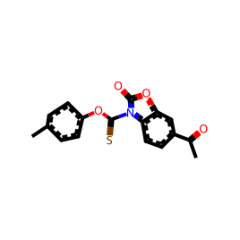 CC(=O)c1ccc2c(c1)oc(=O)n2C(=S)Oc1ccc(C)cc1